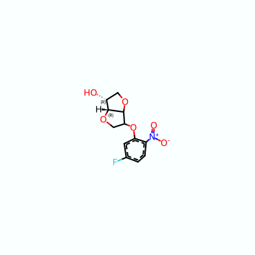 O=[N+]([O-])c1ccc(F)cc1OC1CO[C@H]2C1OC[C@H]2O